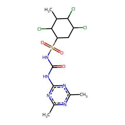 Cc1nc(C)nc(NC(=O)NS(=O)(=O)C2CC(Cl)C(Cl)C(C)C2Cl)n1